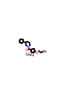 COc1cc(C(=O)N2CCCC(c3ccccc3)C2)ccc1OCCC(C)C